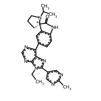 CCn1c(-c2cnc(C)nc2)nc2c(-c3ccc4c(c3)[C@]3(CCCN3C(C)C)C(=O)N4)ncnc21